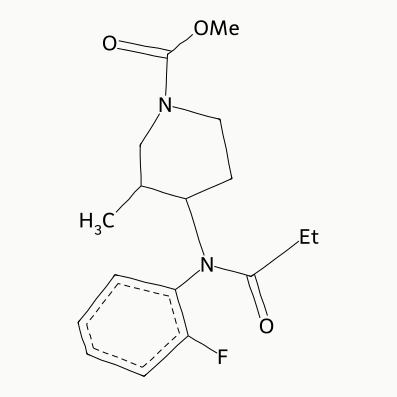 CCC(=O)N(c1ccccc1F)C1CCN(C(=O)OC)CC1C